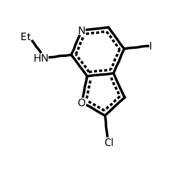 CCNc1ncc(I)c2cc(Cl)oc12